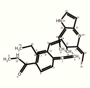 C=C=C(/C=C\C(=C/C)C(=O)NC)C(/C=C\C(C)C(=C\F)/N=C1/C=CN/C1=C/C)=C/CC